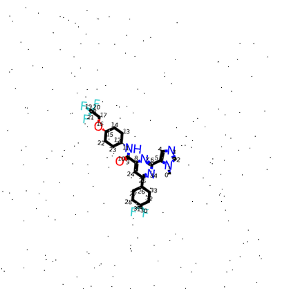 Cn1cncc1-c1nc(C(=O)N[C@H]2CC[C@H](OCC(F)(F)F)CC2)cc(C2CCC(F)(F)CC2)n1